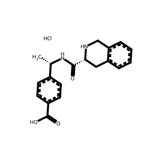 C[C@H](NC(=O)[C@H]1Cc2ccccc2CN1)c1ccc(C(=O)O)cc1.Cl